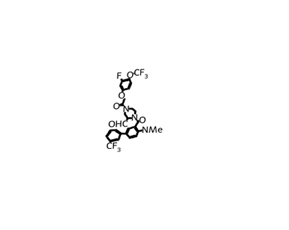 CNc1ccc(-c2cccc(C(F)(F)F)c2)cc1C(=O)N1CCN(C(=O)COc2ccc(OC(F)(F)F)c(F)c2)CC1C=O